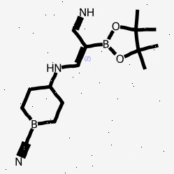 CC1(C)OB(/C(C=N)=C/NC2CCB(C#N)CC2)OC1(C)C